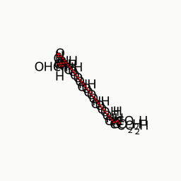 CC(C=O)NC(=O)C(NC(=O)C(CCCCNC(=O)CCOCCOCCOCCOCCNC(=O)CCOCCOCCOCCOCCNC(=O)CCOCCOCCOCCOCCNC(=O)CCC(NC(=O)NC(CCC(=O)O)C(=O)O)C(=O)O)NC(=O)CCCN1C(=O)C=CC1=O)C(C)C